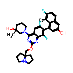 CCc1c(F)ccc2cc(O)cc(-c3c(F)cc4c(N5CCC[C@@](C)(O)C5)nc(OCC56CCCN5CCC6)nc4c3F)c12